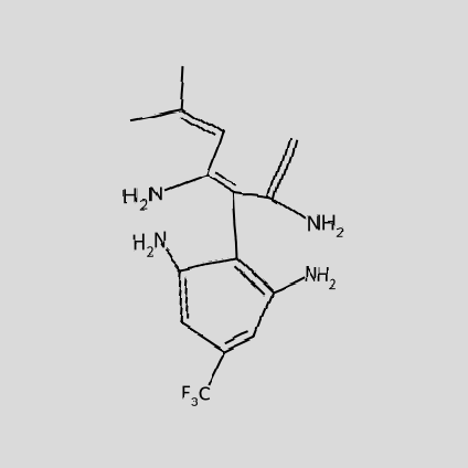 C=C(N)/C(=C(/N)C=C(C)C)c1c(N)cc(C(F)(F)F)cc1N